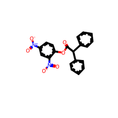 O=C(Oc1ccc([N+](=O)[O-])cc1[N+](=O)[O-])C(c1ccccc1)c1ccccc1